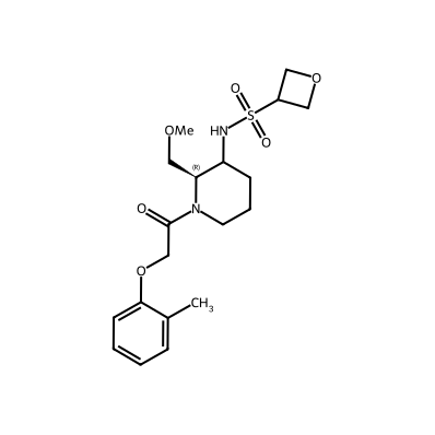 COC[C@H]1C(NS(=O)(=O)C2COC2)CCCN1C(=O)COc1ccccc1C